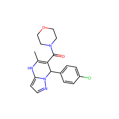 CC1=C(C(=O)N2CCOCC2)C(c2ccc(Cl)cc2)n2nccc2N1